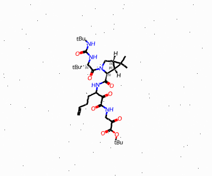 C=CCCC(NC(=O)[C@@H]1[C@@H]2[C@H](CN1C(=O)[C@@H](NC(=O)NC(C)(C)C)C(C)(C)C)C2(C)C)C(=O)C(=O)NCC(=O)C(=O)OC(C)(C)C